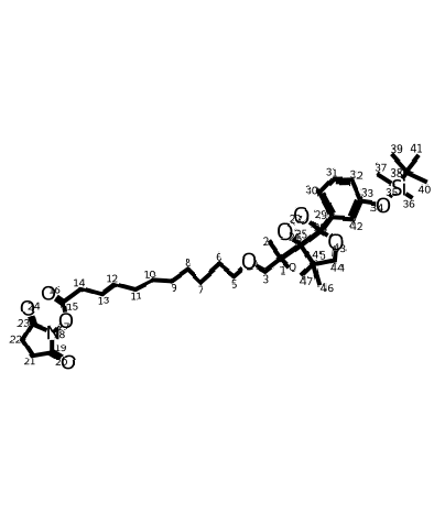 CC(C)(COCCCCCCCCCCC(=O)ON1C(=O)CCC1=O)C12OOC1(c1cccc(O[Si](C)(C)C(C)(C)C)c1)OCC2(C)C